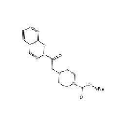 CC(C)(C)OC(=O)N1CCC(CC(=O)C2=CC3C=CC=CC3C=C2)CC1